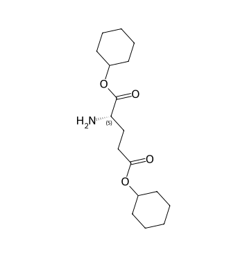 N[C@@H](CCC(=O)OC1CCCCC1)C(=O)OC1CCCCC1